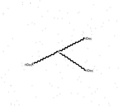 CCCCCCCCCCCCCCCCCCCCCCCCCCCCCP(CCCCCCCCCCCCCCCCCCCCCCCCCCCCC)CCCCCCCCCCCCCCCCCCCCCCCCCCCCC